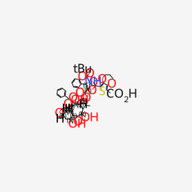 CC1C2[C@@H](O)C(=O)[C@@]3(C)[C@@H]([C@@H]4CO[C@@H]4C[C@@H]3O)[C@H](OC(=O)c3ccccc3)[C@](O)(C[C@@H]1OC(=O)[C@H](OC(=O)c1sc(C(=O)O)c3c1OCCCO3)[C@@H](NC(=O)OC(C)(C)C)c1ccccc1)[C@H]2C